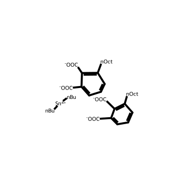 CCCCCCCCc1cccc(C(=O)[O-])c1C(=O)[O-].CCCCCCCCc1cccc(C(=O)[O-])c1C(=O)[O-].CCC[CH2][Sn+4][CH2]CCC